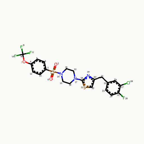 O=S(=O)(c1ccc(OC(F)(F)F)cc1)N1CCN(c2nc(Cc3ccc(F)c(Cl)c3)cs2)CC1